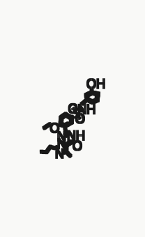 CCCc1nc(C)c2c(=O)[nH]c(-c3cc(S(=O)(=O)NCc4cccc(O)c4)ccc3OCC)nn12